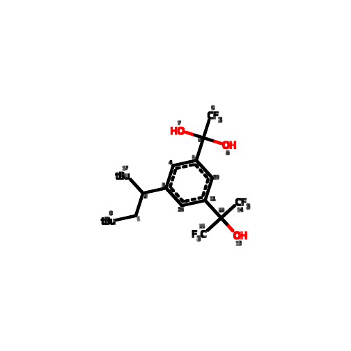 CC(C)(C)CC(c1cc(C(O)(O)C(F)(F)F)cc(C(O)(C(F)(F)F)C(F)(F)F)c1)C(C)(C)C